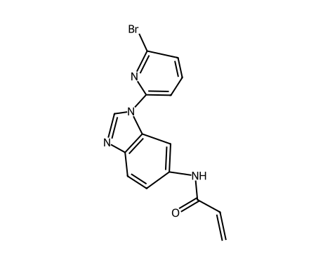 C=CC(=O)Nc1ccc2ncn(-c3cccc(Br)n3)c2c1